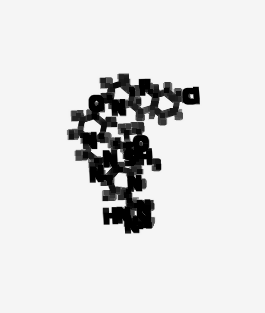 Fc1cc(Cl)ccc1Cc1cccc(OC2CCN(Cc3nc4cc(-c5nnn[nH]5)ncc4n3C[C@]3([SiH3])CCO3)CC2)n1